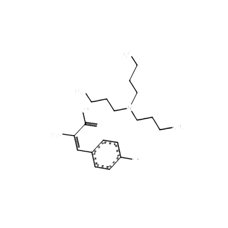 CC(=Cc1ccc(O)cc1)C(=O)O.CCCCN(CCCC)CCCC